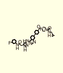 O=C(Cc1cc(Nc2ncnc3cc(-c4ccc(C(=O)N5CCN(C(=O)NCC6CC6)CC5)cc4)ccc23)n[nH]1)Nc1cccc(F)c1